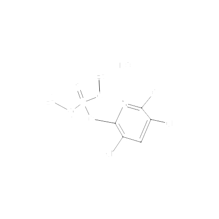 CCOP(=S)(OCC)Oc1nc(Cl)c(Cl)cc1Cl.O